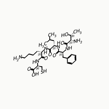 CC(C)C[C@H](NC(=O)[C@H](Cc1ccccc1)NC(=O)[C@@H](N)[C@@H](C)O)C(=O)N[C@@H](CCCCN)C(=O)N[C@@H](CS)C(=O)O